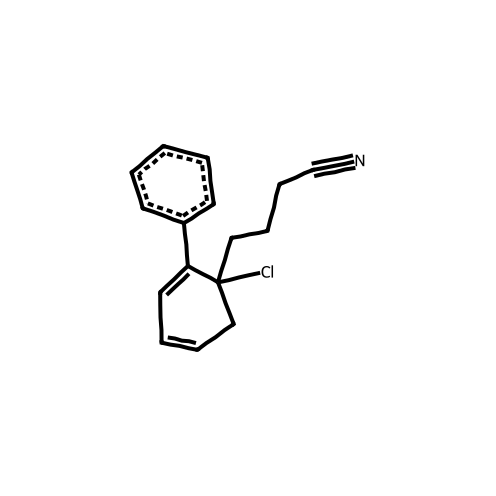 N#CCCCC1(Cl)CC=CC=C1c1ccccc1